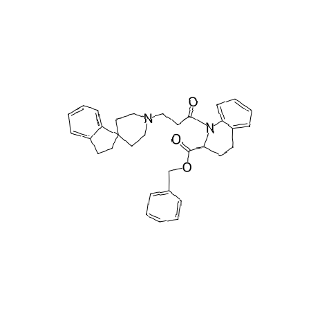 O=C(OCc1ccccc1)C1CCc2ccccc2N1C(=O)CCN1CCC2(CCc3ccccc32)CC1